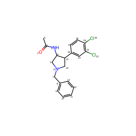 CC(=O)NC1CN(Cc2ccccc2)CC1c1ccc(Cl)c(Cl)c1